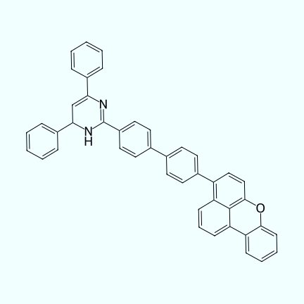 C1=C(c2ccccc2)N=C(c2ccc(-c3ccc(-c4ccc5c6c(cccc46)-c4ccccc4O5)cc3)cc2)NC1c1ccccc1